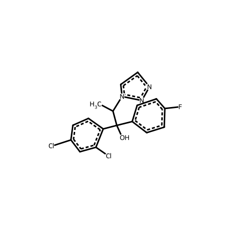 CC(n1ccnn1)C(O)(c1ccc(F)cc1)c1ccc(Cl)cc1Cl